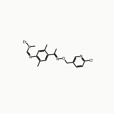 CCN(C)/C=N\c1cc(C)c(/C(C)=N/OCc2ccc(Cl)nc2)cc1C